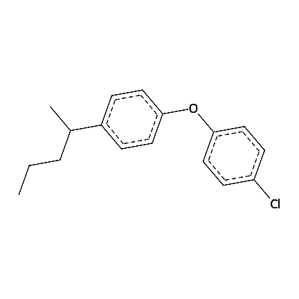 CCCC(C)c1ccc(Oc2ccc(Cl)cc2)cc1